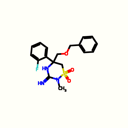 CN1C(=N)NC(COCc2ccccc2)(c2ccccc2F)CS1(=O)=O